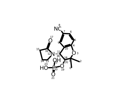 CC1(C)Oc2ccc(C#N)cc2[C@@H](N2CCCC2=O)[C@@H]1OP(=O)(O)O